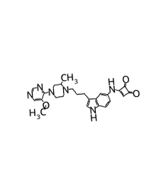 COc1cncnc1N1CCN(CCCc2c[nH]c3ccc(Nc4cc(=O)c4=O)cc23)C(C)C1